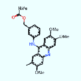 CNC(=O)OCc1cccc(Nc2c3cc(C)c(OC)cc3nc3cc(OC)c(OC)cc23)c1